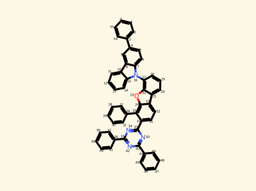 c1ccc(-c2ccc3c(c2)c2ccccc2n3-c2cccc3c2oc2c(-c4ccccc4)c(-c4nc(-c5ccccc5)nc(-c5ccccc5)n4)ccc23)cc1